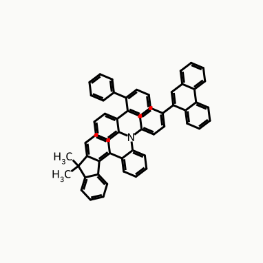 CC1(C)c2ccccc2-c2c(-c3ccccc3N(c3ccc(-c4cc5ccccc5c5ccccc45)cc3)c3ccccc3-c3ccccc3-c3ccccc3)cccc21